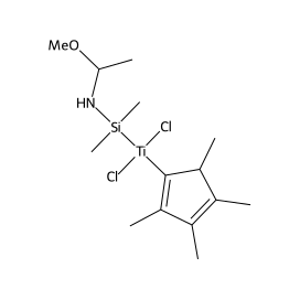 COC(C)N[Si](C)(C)[Ti]([Cl])([Cl])[C]1=C(C)C(C)=C(C)C1C